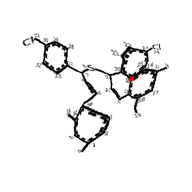 Cc1ccc(C=CC(SC(C=Cc2ccc(C)cc2C)c2ccc(Cl)cc2)c2ccc(Cl)cc2)c(C)c1